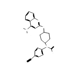 CN(C)c1cc(NC2CCC(N(C(N)=O)c3ccc(C#N)cc3)CC2)nc2ccccc12